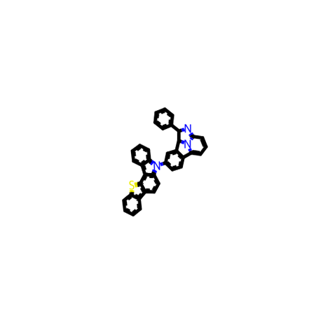 C1=CC2=NC(c3ccccc3)C3c4cc(-n5c6ccccc6c6c7sc8ccccc8c7ccc65)ccc4C(=C1)N23